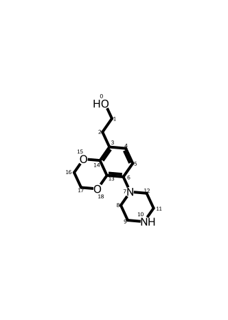 OCCc1ccc(N2CCNCC2)c2c1OCCO2